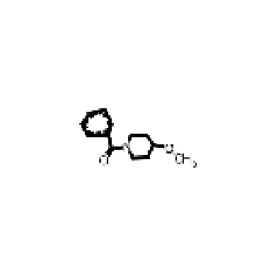 COC1CCN(C(=O)c2cc[c]cc2)CC1